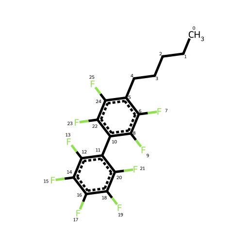 CCCCCc1c(F)c(F)c(-c2c(F)c(F)c(F)c(F)c2F)c(F)c1F